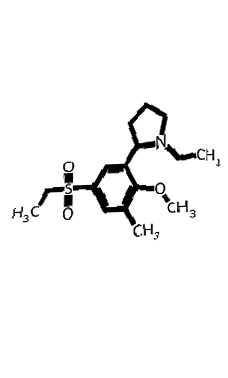 CCN1CCCC1c1cc(S(=O)(=O)CC)cc(C)c1OC